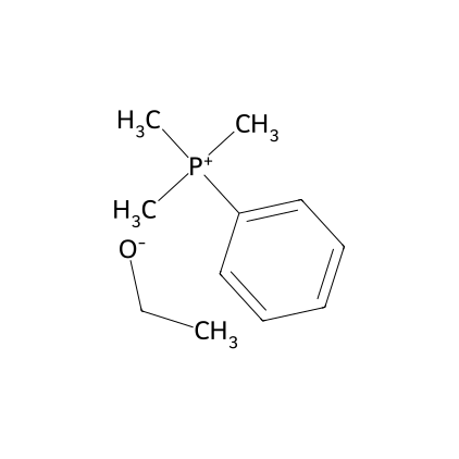 CC[O-].C[P+](C)(C)c1ccccc1